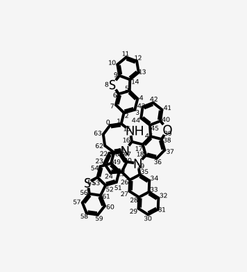 C1=C(/c2ccc3c(c2)sc2ccccc23)NC(c2c(-n3c4ccccc4c4cc5ccccc5cc43)ccc3oc4ccccc4c23)/N=C(/c2ccc3c(c2)sc2ccccc23)CC/1